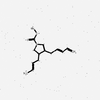 C=C/C=C/CC1CN(C(=O)OC(C)(C)C)CC1C/C=C/C